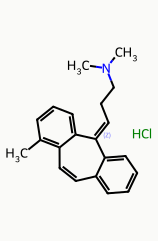 Cc1cccc2c1C=Cc1ccccc1/C2=C/CCN(C)C.Cl